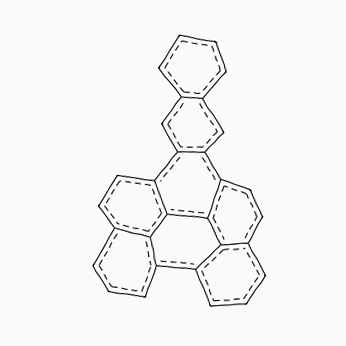 c1ccc2cc3c(cc2c1)c1ccc2cccc4c5cccc6ccc3c(c65)c1c24